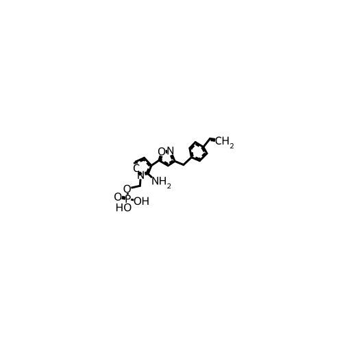 C=Cc1ccc(Cc2cc(-c3ccc[n+](COP(=O)(O)O)c3N)on2)cc1